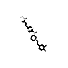 O=C(/C=C/c1cnc(N[C@@H]2CCCN(CCc3ccc(F)c(F)c3)C2)cn1)NO